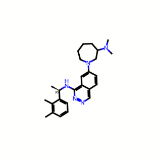 Cc1cccc([C@@H](C)Nc2nncc3ccc(N4CCCCC(N(C)C)C4)cc23)c1C